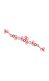 C=CC(=O)OCCCCOc1ccc(OC(=O)[C@H]2CC[C@H](C(=O)Oc3ccc(OC(=O)[C@H]4CC[C@H](C(=O)Oc5ccc(OCCCCOC(=O)C=C)cc5)CC4)c(C(=O)OC)c3)CC2)cc1